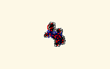 c1ccc(-c2nc(-c3ccc(-c4ccc5c(c4)c4ccccc4n5-c4ccccc4)c(-c4nc(-c5ccccc5)nc(-c5ccccc5)n4)c3)nc(-c3ccc4c(c3)oc3ccccc34)n2)cc1